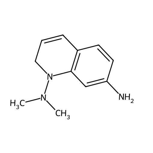 CN(C)N1CC=Cc2ccc(N)cc21